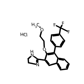 COCCOc1c(C2=NCCN2)cc2ccccc2c1-c1ccc(C(F)(F)F)cc1.Cl